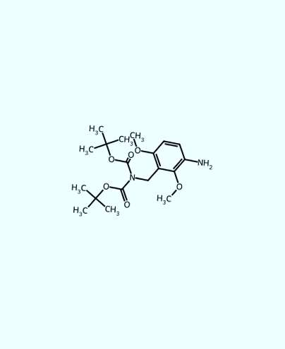 COc1ccc(N)c(OC)c1CN(C(=O)OC(C)(C)C)C(=O)OC(C)(C)C